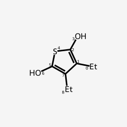 CCc1c(O)sc(O)c1CC